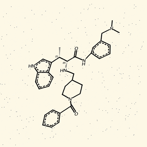 C[C@@H](c1c[nH]c2ccccc12)[C@@H](NCC1CCN(C(=O)c2ccccc2)CC1)C(=O)Nc1cccc(CN(C)C)c1